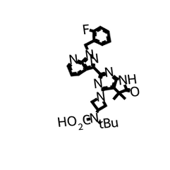 CC1(C)C(=O)Nc2nc(-c3nn(Cc4ccccc4F)c4ncccc34)nc(N3CC(N(C(=O)O)C(C)(C)C)C3)c21